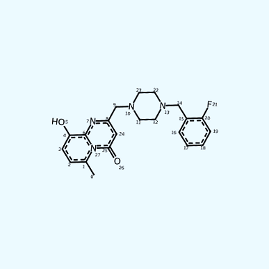 Cc1ccc(O)c2nc(CN3CCN(Cc4ccccc4F)CC3)cc(=O)n12